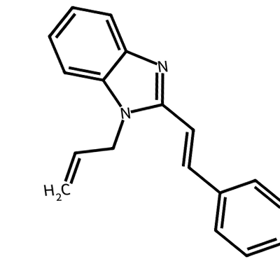 C=CCn1c(C=Cc2ccccc2)nc2ccccc21